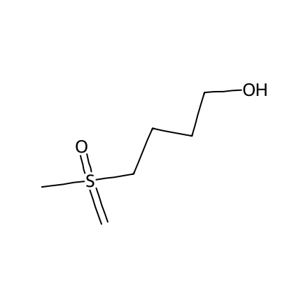 C=S(C)(=O)CCCCO